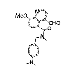 COc1ccc(C(=O)N(C)Cc2ccc(N(C)C)cc2)c2c(C=O)ccnc12